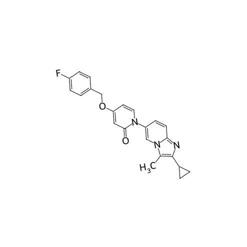 Cc1c(C2CC2)nc2ccc(-n3ccc(OCc4ccc(F)cc4)cc3=O)cn12